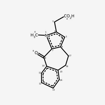 Cn1c(CC(=O)O)cc2c1C(=O)c1ccccc1CC2